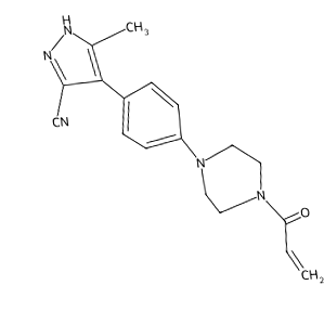 C=CC(=O)N1CCN(c2ccc(-c3c(C#N)n[nH]c3C)cc2)CC1